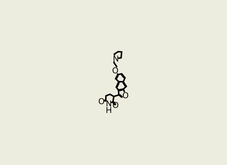 O=C1CCC(c2coc3cc4ccc(OCCN5CCCC5)cc4cc23)C(=O)N1